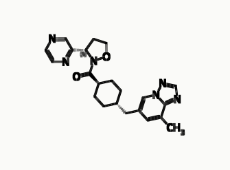 Cc1cc(C[C@H]2CC[C@H](C(=O)N3OCC[C@H]3c3cnccn3)CC2)cn2ncnc12